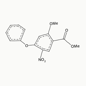 COC(=O)c1cc([N+](=O)[O-])c(Oc2ccccc2)cc1OC